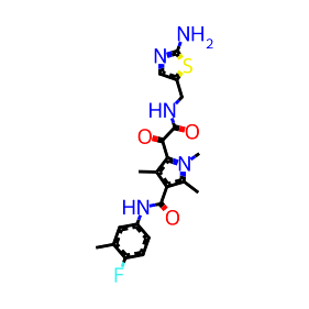 Cc1cc(NC(=O)c2c(C)c(C(=O)C(=O)NCc3cnc(N)s3)n(C)c2C)ccc1F